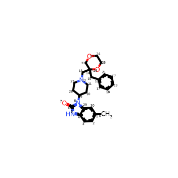 Cc1ccc2[nH]c(=O)n(C3CCN(CC4(Cc5ccccc5)COCCO4)CC3)c2c1